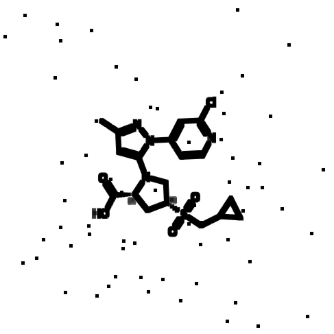 Cc1cc(N2C[C@H](S(=O)(=O)CC3CC3)C[C@@H]2C(=O)O)n(-c2ccnc(Cl)c2)n1